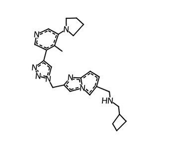 Cc1c(-c2cn(Cc3cn4cc(CNCC5CCC5)ccc4n3)nn2)cncc1N1CCCC1